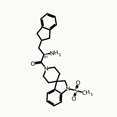 CS(=O)(=O)N1CC2(CCN(C(=O)[C@H](N)CC3Cc4ccccc4C3)CC2)c2ccccc21